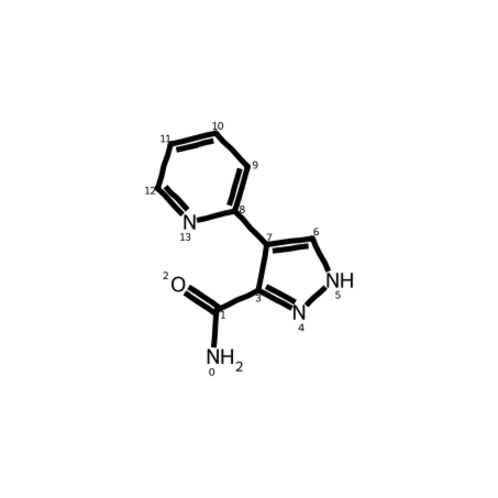 NC(=O)c1n[nH]cc1-c1ccccn1